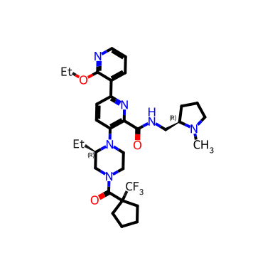 CCOc1ncccc1-c1ccc(N2CCN(C(=O)C3(C(F)(F)F)CCCC3)C[C@H]2CC)c(C(=O)NC[C@H]2CCCN2C)n1